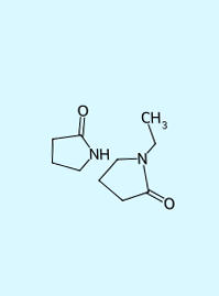 CCN1CCCC1=O.O=C1CCCN1